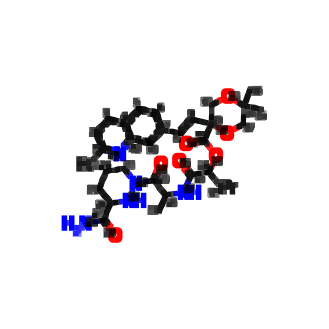 CCc1ccc2ccc(/C=C/C3(C(=O)OC(C(=O)NC(C)C(=O)N4CCCC(C(N)=O)N4)C(C)C)COC(C)(C)CO3)cc2n1